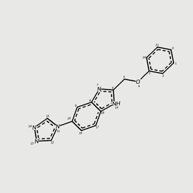 c1ccc(OCc2nc3cc(-n4cnnc4)ccc3[nH]2)cc1